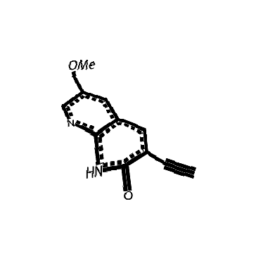 C#Cc1cc2cc(OC)cnc2[nH]c1=O